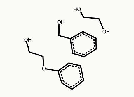 OCCO.OCCOc1ccccc1.OCc1ccccc1